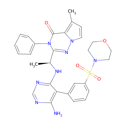 Cc1ccn2nc([C@H](C)Nc3ncnc(N)c3-c3cccc(S(=O)(=O)N4CCOCC4)c3)n(-c3ccccc3)c(=O)c12